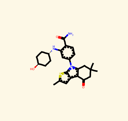 Cc1cc2c3c(n(-c4ccc(C(N)=O)c(N[C@H]5CC[C@H](O)CC5)c4)c2s1)CC(C)(C)CC3=O